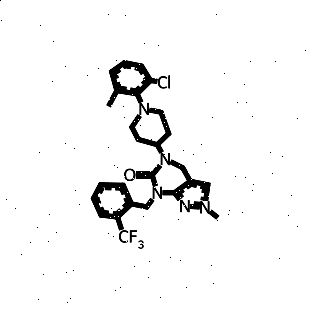 Cc1cccc(Cl)c1N1CCC(N2Cc3cn(C)nc3N(Cc3ccccc3C(F)(F)F)C2=O)CC1